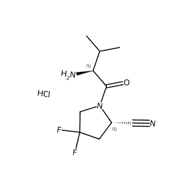 CC(C)[C@H](N)C(=O)N1CC(F)(F)C[C@H]1C#N.Cl